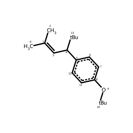 CC(C)=CC(c1ccc(OC(C)(C)C)cc1)C(C)(C)C